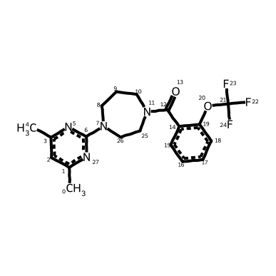 Cc1cc(C)nc(N2CCCN(C(=O)c3ccccc3OC(F)(F)F)CC2)n1